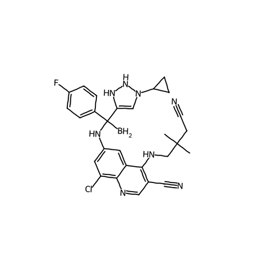 BC(Nc1cc(Cl)c2ncc(C#N)c(NCC(C)(C)CC#N)c2c1)(C1=CN(C2CC2)NN1)c1ccc(F)cc1